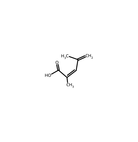 C=C(C)C=C(C)C(=O)O